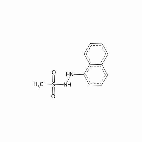 CS(=O)(=O)NNc1cccc2ccccc12